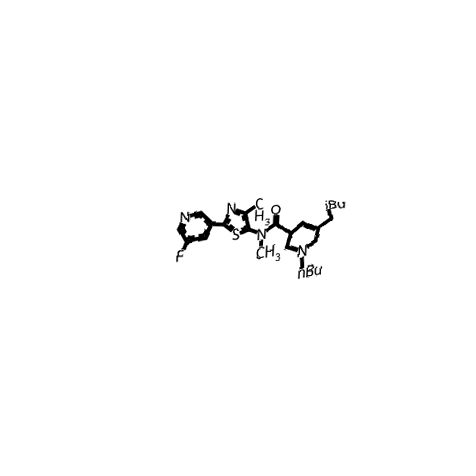 CCCCN1CC(CC(C)CC)=CC(C(=O)N(C)c2sc(-c3cncc(F)c3)nc2C)C1